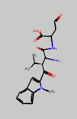 CC(C)[C@H](C(=O)c1cc2ccccc2n1C)C(N)C(=O)NC(CC=O)C(=O)O